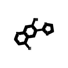 Oc1cc2nccc(Cl)c2cc1-c1ncco1